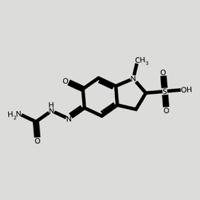 CN1C2=CC(=O)C(=NNC(N)=O)C=C2CC1S(=O)(=O)O